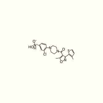 Cc1ccsc1-c1noc(C)c1C(=O)N1CCN(c2ccc([NH+]([O-])O)cc2Cl)CC1